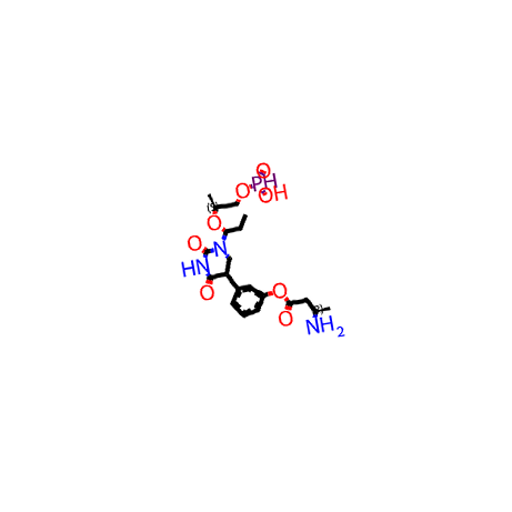 CCC(O[C@@H](C)CO[PH](=O)O)N1CC(c2cccc(OC(=O)C[C@@H](C)N)c2)C(=O)NC1=O